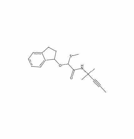 CC#CC(C)(C)NC(=O)C(OC1CCc2ccccc21)SC